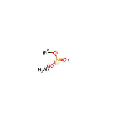 CC(C)O[PH](=O)O.[AlH3]